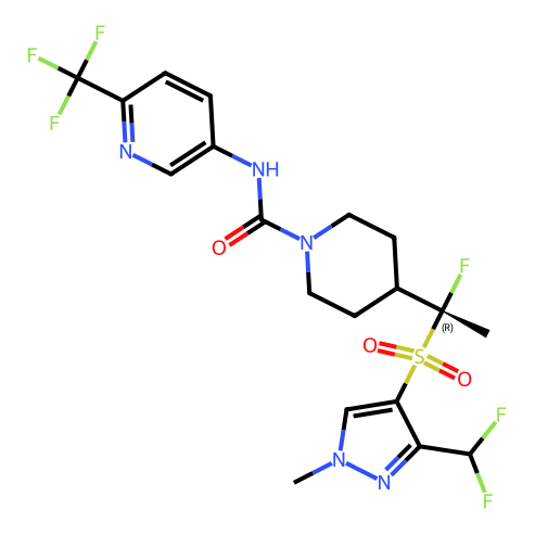 Cn1cc(S(=O)(=O)[C@@](C)(F)C2CCN(C(=O)Nc3ccc(C(F)(F)F)nc3)CC2)c(C(F)F)n1